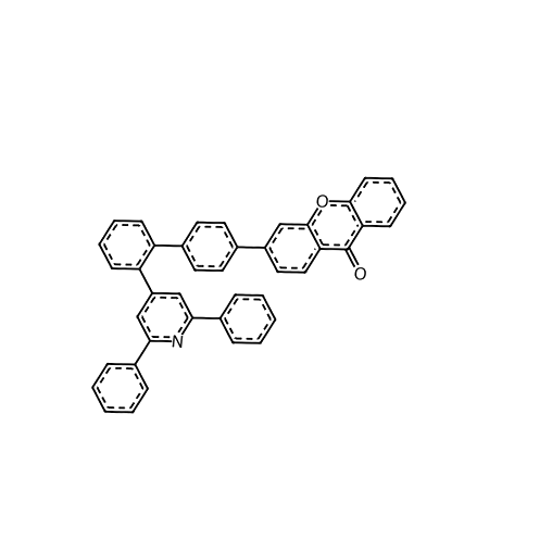 O=c1c2ccccc2oc2cc(-c3ccc(-c4ccccc4-c4cc(-c5ccccc5)nc(-c5ccccc5)c4)cc3)ccc12